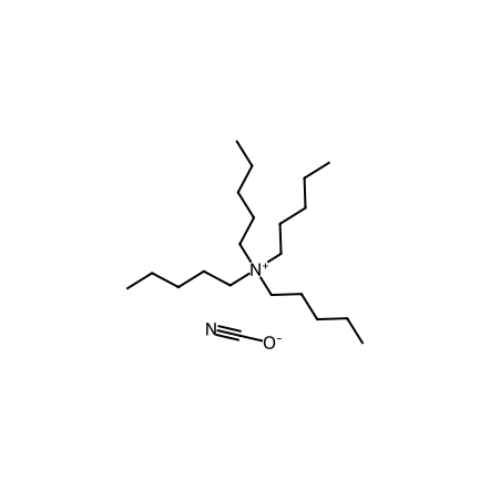 CCCCC[N+](CCCCC)(CCCCC)CCCCC.N#C[O-]